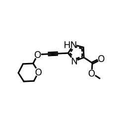 COC(=O)c1c[nH]c(C#COC2CCCCO2)n1